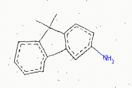 CC1(C)c2ccccc2-c2cc(N)ccc21